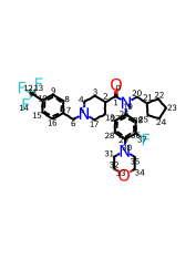 O=C(C1CCN(Cc2ccc(C(F)(F)F)cc2)CC1)N(CC1CCCC1)c1ccc(N2CCOCC2)c(F)c1